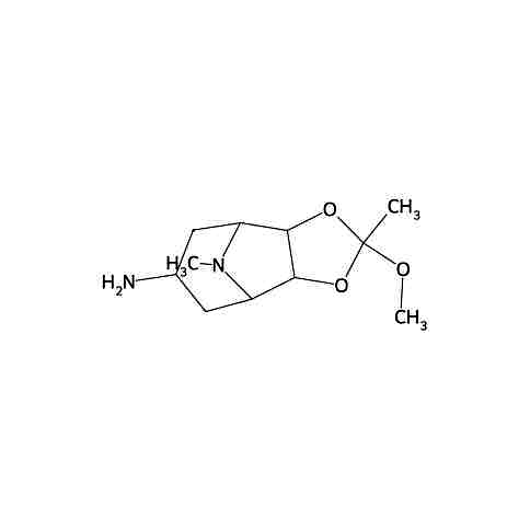 COC1(C)OC2C(O1)C1CC(N)CC2N1C